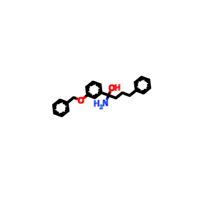 NC(O)(CCCc1ccccc1)c1cccc(OCc2ccccc2)c1